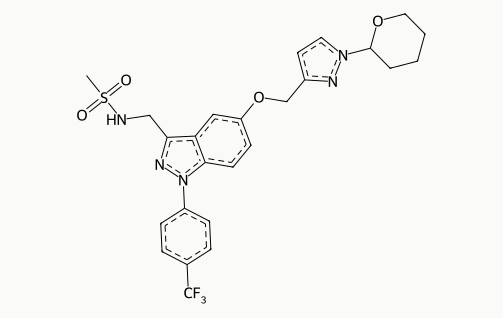 CS(=O)(=O)NCc1nn(-c2ccc(C(F)(F)F)cc2)c2ccc(OCc3ccn(C4CCCCO4)n3)cc12